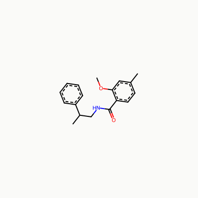 COc1cc(C)ccc1C(=O)NCC(C)c1ccccc1